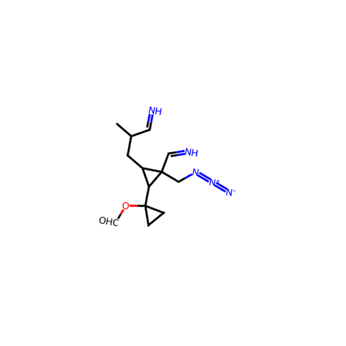 CC(C=N)CC1C(C2(OC=O)CC2)C1(C=N)CN=[N+]=[N-]